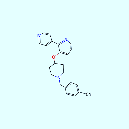 N#Cc1ccc(CN2CCC(Oc3cccnc3-c3ccncc3)CC2)cc1